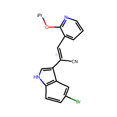 CC(C)Oc1ncccc1/C=C(\C#N)c1c[nH]c2ccc(Br)cc12